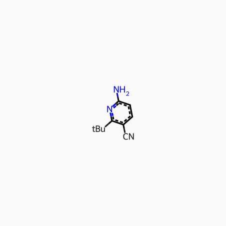 CC(C)(C)c1nc(N)ccc1C#N